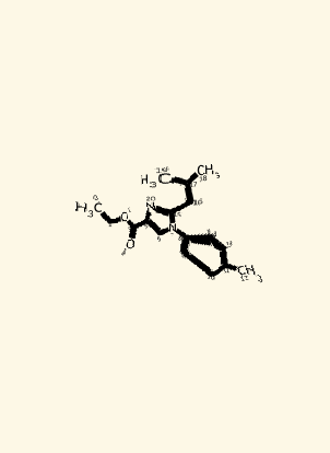 CCOC(=O)c1cn(-c2ccc(C)cc2)c(CC(C)C)n1